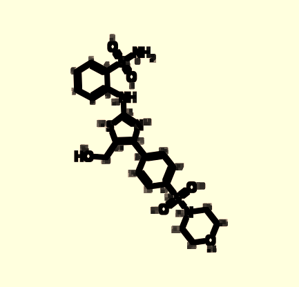 NS(=O)(=O)c1ccccc1Nc1nc(-c2ccc(S(=O)(=O)N3CCOCC3)cc2)c(CO)s1